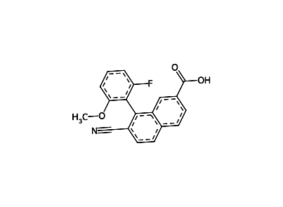 COc1cccc(F)c1-c1c(C#N)ccc2ccc(C(=O)O)cc12